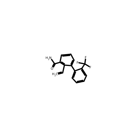 C=Cc1c(C(N)=O)cccc1-c1ccccc1C(F)(F)F